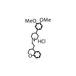 COc1ccc(C2CCN(CCC3CCOc4ccccc43)CC2)cc1OC.Cl